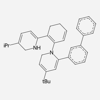 CC(C)C1=CC=C(C2=C(N3CC=C(C(C)(C)C)C=C3c3cccc(-c4ccccc4)c3)C=CCC2)NC1